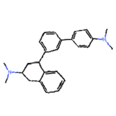 CN(C)c1ccc(-c2cccc(C3CC(N(C)C)Cc4ccccc43)c2)cc1